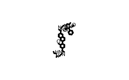 CCCN(C)Cc1ncc(-c2ccc3c(c2)COc2c-3ccc3cc(-c4cnc(CN(CCC)C(=O)C(NC=O)c5ccccc5)[nH]4)ccc23)[nH]1